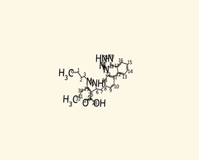 CCCCN1NC(Cc2ccc(-c3ccccc3-c3nn[nH]n3)cc2)C(C(=O)O)=C1CCC